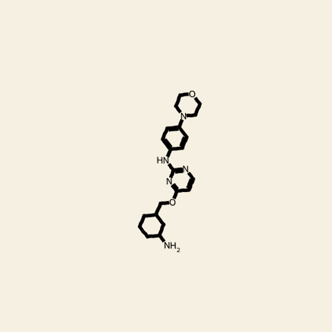 NC1CCCC(COc2ccnc(Nc3ccc(N4CCOCC4)cc3)n2)C1